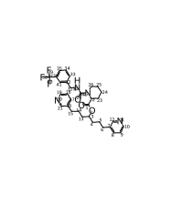 O=C(OC(CCCc1cccnc1)CCCc1cccnc1)[C@@H]1CCCCN1C(=O)NCc1cccc(C(F)(F)F)c1